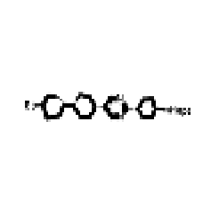 CCCCCCC[C@H]1CC[C@H](c2ncc([C@H]3CC[C@H]([C@H]4CC[C@H](CC)CC4)CC3)cn2)CC1